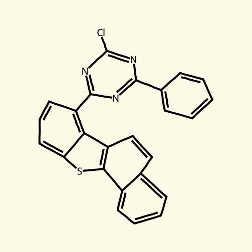 Clc1nc(-c2ccccc2)nc(-c2cccc3sc4c5ccccc5ccc4c23)n1